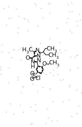 CCOc1ccc(S(=O)(=O)Cl)cc1-c1nn2c(C(CC)CC)nc(C)c2c(=O)[nH]1